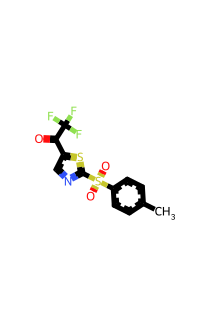 Cc1ccc(S(=O)(=O)c2ncc(C(=O)C(F)(F)F)s2)cc1